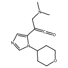 CN(C)CC(=C=O)c1cncn1C1CCOCC1